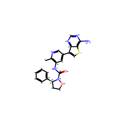 Cc1ncc(-c2csc3c(N)ncnc23)cc1NC(=O)N1OCC[C@H]1c1ccccc1